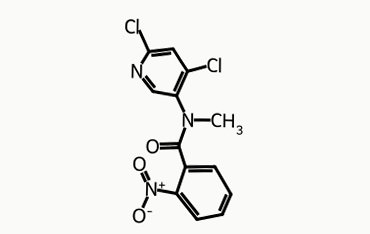 CN(C(=O)c1ccccc1[N+](=O)[O-])c1cnc(Cl)cc1Cl